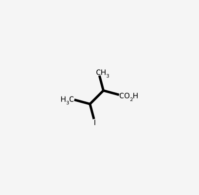 CC(I)C(C)C(=O)O